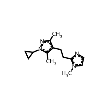 Cc1nn(C2CC2)c(C)c1CCc1nccn1C